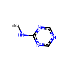 CCCCNc1n[c]ncn1